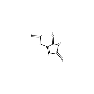 C=CCC1=CC(=O)OC1=O